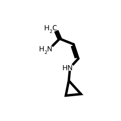 C=C(N)/C=C\NC1CC1